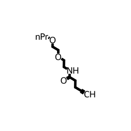 C#CCCC(=O)NCCOCCOCCC